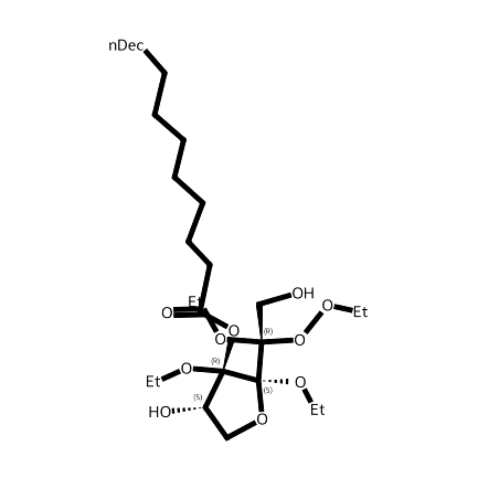 CCCCCCCCCCCCCCCCCC(=O)O[C@]1(OCC)[C@@H](O)CO[C@]1(OCC)[C@](CO)(OCC)OOCC